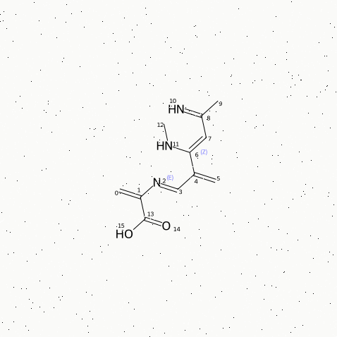 C=C(/N=C/C(=C)/C(=C/C(C)=N)NC)C(=O)O